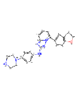 c1cc(-c2ccc3c(c2)CCO3)n2nc(Nc3ccc(N4CCNCC4)cc3)nc2c1